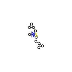 c1ccc(-c2nc(-c3cccc(-c4ccc5c6ccccc6c6ccccc6c5c4)c3)c3sc4ccc(-c5cccc(-c6ccc7c8ccccc8c8ccccc8c7c6)c5)cc4c3n2)cc1